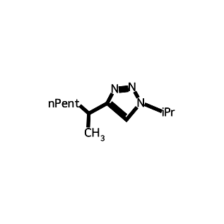 CCCCCC(C)c1cn(C(C)C)nn1